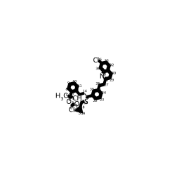 CC(=O)OC(C)(C)c1ccccc1CC[C@@H](SCC1CC1)c1cccc(C=Cc2ccc3ccc(Cl)cc3n2)c1